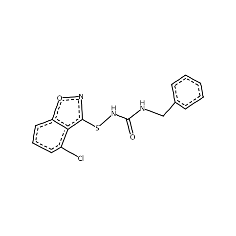 O=C(NCc1ccccc1)NSc1noc2cccc(Cl)c12